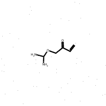 C=CC(=O)COC(N)N